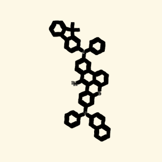 [2H]c1c2c3c(cccc3c3cc(N(c4ccccc4)c4ccc5c(c4)C(C)(C)c4ccccc4-5)ccc13)Sc1cc(N(c3ccccc3)c3ccc4ccccc4c3)ccc1-2